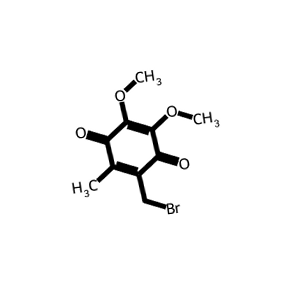 COC1=C(OC)C(=O)C(CBr)=C(C)C1=O